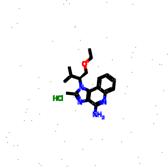 CCOC[C@H](C(C)C)n1c(C)nc2c(N)nc3ccccc3c21.Cl